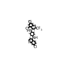 FC(F)(F)c1cc(N[C@H]2CC[C@@H](Nc3ccnc4cc(Cl)ccc34)CC2)c2c(Cl)cc(Cl)cc2n1